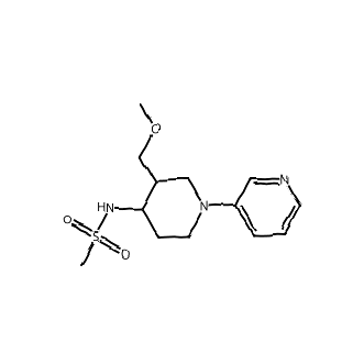 COCC1CN(c2cccnc2)CCC1NS(C)(=O)=O